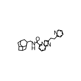 O=C(NCC12CC3CC4CC(C1)C4(C3)C2)c1cccc2nc(CCc3ccccn3)cn12